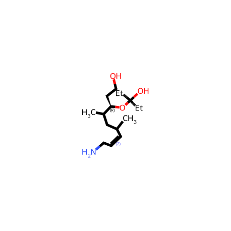 CCC(O)(CC)O[C@H](CCO)C(C)CC(C)/C=C\CN